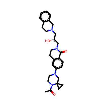 CC(=O)N1CCN(c2ccc3c(c2)CCN(C[C@H](O)CN2CCc4ccccc4C2)C3=O)CC12CC2